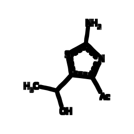 CC(=O)c1nc(N)sc1C(C)O